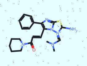 CN(C)C=[N+]1C(N)Sc2nc(-c3ccccc3)c(C=CC(=O)N3CCCCC3)n21